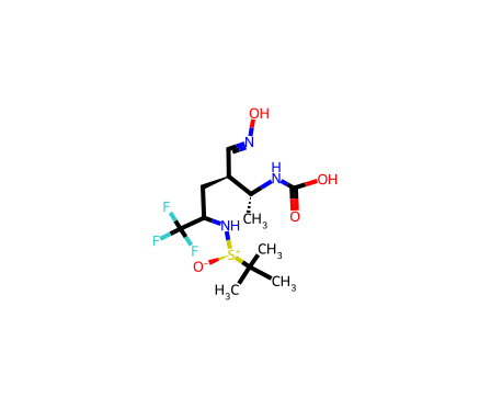 C[C@@H](NC(=O)O)[C@H](/C=N/O)CC(N[S@+]([O-])C(C)(C)C)C(F)(F)F